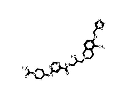 CC(=O)N1CCC(Nc2cc(C(=O)NCC(O)CN3CCc4c(ccc(OCc5cnco5)c4C)C3)ncn2)CC1